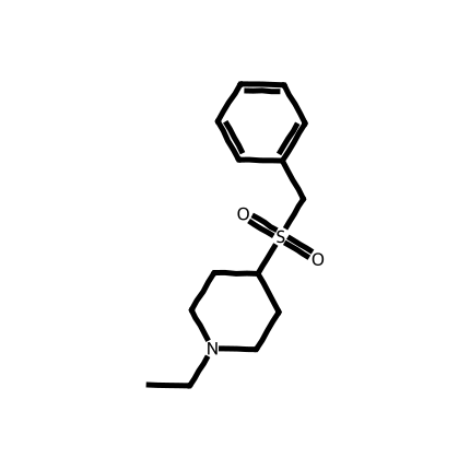 CCN1CCC(S(=O)(=O)Cc2ccccc2)CC1